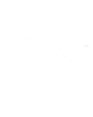 COc1cc2c(Oc3cccc(OC(=O)CCNc4cc(C(C)(C)C)on4)c3)ncnc2cc1OC1CCN(CC(C)F)CC1